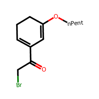 CCCCCOC1=CC(C(=O)CBr)=CCC1